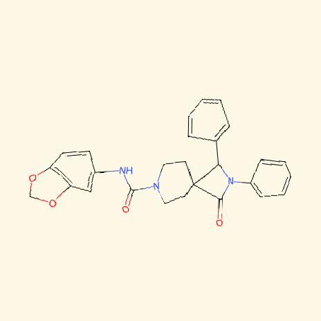 O=C(Nc1ccc2c(c1)OCO2)N1CCC2(CC1)C(=O)N(c1ccccc1)C2c1ccccc1